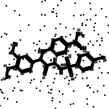 CCOc1cc(C(Nc2ccc(C(=N)N)cc2)C(=O)NNS(=O)(=O)c2ccc(C(C)=O)cc2)ccc1OC(C)C